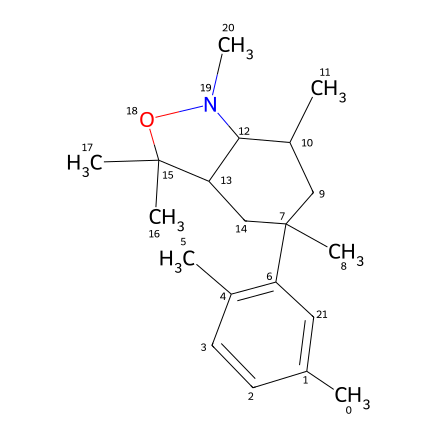 Cc1ccc(C)c(C2(C)CC(C)C3C(C2)C(C)(C)ON3C)c1